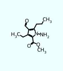 CCCc1c(C=O)c(CC)c(C(=O)OC)n1N